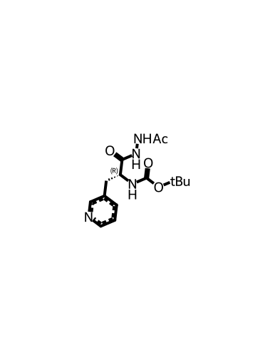 CC(=O)NNC(=O)[C@@H](Cc1cccnc1)NC(=O)OC(C)(C)C